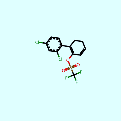 O=S(=O)(OC1=C(c2ccc(Cl)cc2Cl)CCC=C1)C(F)(F)F